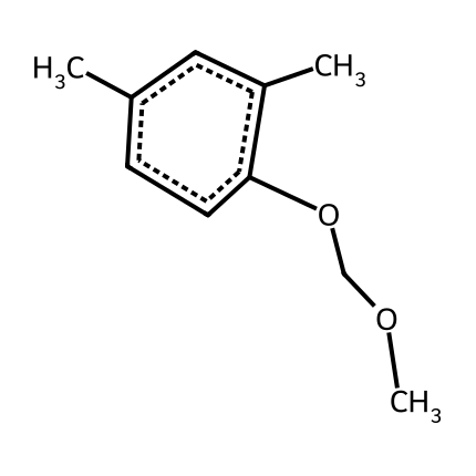 COCOc1ccc(C)cc1C